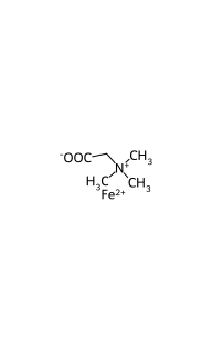 C[N+](C)(C)CC(=O)[O-].[Fe+2]